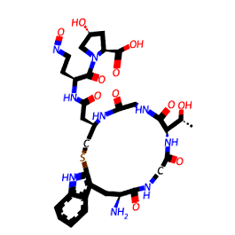 C[C@@H](O)[C@@H]1NC(=O)CNC(=O)[C@@H](N)Cc2c([nH]c3ccccc23)SC[C@@H](CC(=O)N[C@@H](CCN=O)C(=O)N2C[C@H](O)C[C@H]2C(=O)O)NC(=O)CNC1=O